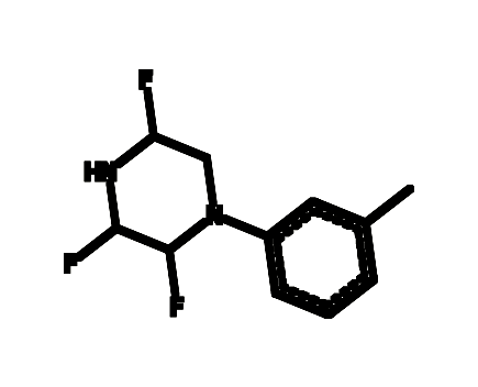 Cc1cccc(N2CC(F)NC(F)C2F)c1